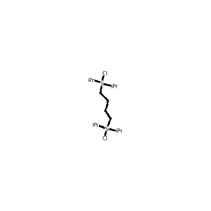 CC(C)[Si](Cl)(CCCC[Si](Cl)(C(C)C)C(C)C)C(C)C